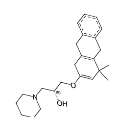 CC1(C)C=C(OC[C@H](O)CN2CCCCC2)CC2=C1Cc1ccccc1C2